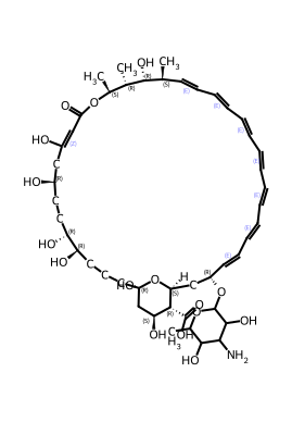 CC1OC(O[C@H]2/C=C/C=C/C=C/C=C/C=C/C=C/C=C/[C@H](C)[C@@H](O)[C@@H](C)[C@H](C)OC(=O)/C=C(\O)C[C@H](O)CC[C@@H](O)[C@H](O)CCC[C@]3(O)C[C@H](O)[C@@H](C(=O)O)[C@H](C2)O3)C(O)C(N)C1O